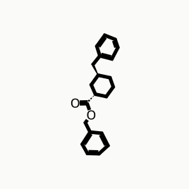 O=C(OCc1ccccc1)[C@H]1CCC[C@H](Cc2ccccc2)C1